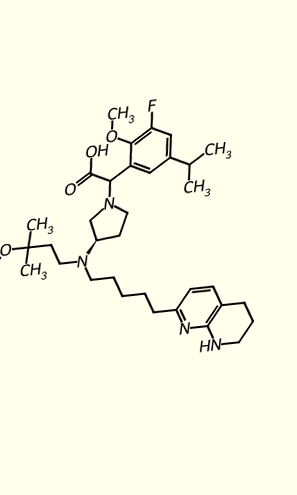 COc1c(F)cc(C(C)C)cc1C(C(=O)O)N1CC[C@@H](N(CCCCCc2ccc3c(n2)NCCC3)CCC(C)(C)OC)C1